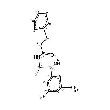 C[C@H](NC(=O)OCc1ccccc1)[C@H](O)c1cc(F)cc(C(F)(F)F)c1